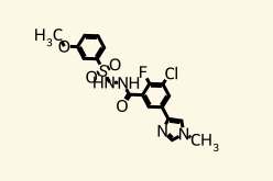 COc1cccc(S(=O)(=O)NNC(=O)c2cc(-c3cn(C)cn3)cc(Cl)c2F)c1